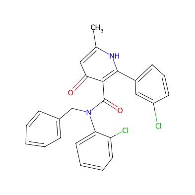 Cc1cc(=O)c(C(=O)N(Cc2ccccc2)c2ccccc2Cl)c(-c2cccc(Cl)c2)[nH]1